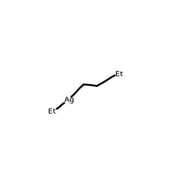 CCC[CH2][Ag][CH2]C